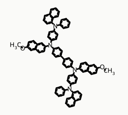 COc1ccc2cc(N(c3ccc(-c4ccc(N(c5ccc(N(c6ccccc6)c6cccc7ccccc67)cc5)c5ccc6cc(OC)ccc6c5)cc4)cc3)c3ccc(N(c4ccccc4)c4cccc5ccccc45)cc3)ccc2c1